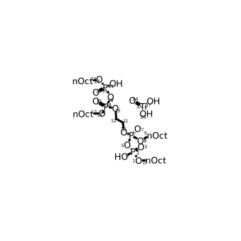 CCCCCCCCOP(=O)(O)OP(=O)(OCCCCCCCC)OCCOP(=O)(OCCCCCCCC)OP(=O)(O)OCCCCCCCC.[O]=[Ti]([OH])[OH]